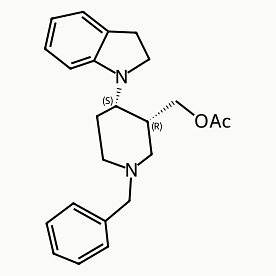 CC(=O)OC[C@@H]1CN(Cc2ccccc2)CC[C@@H]1N1CCc2ccccc21